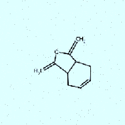 C=C1OC(=C)C2CC=CCC12